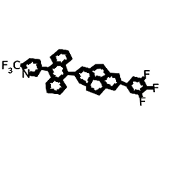 Fc1cc(-c2cc3ccc4cc(-c5c6ccccc6c(-c6ccc(C(F)(F)F)nc6)c6ccccc56)cc5ccc(c2)c3c45)cc(F)c1F